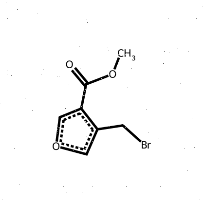 COC(=O)c1cocc1CBr